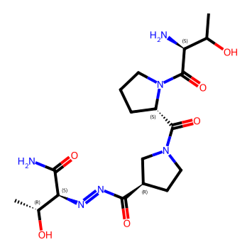 CC(O)[C@H](N)C(=O)N1CCC[C@H]1C(=O)N1CC[C@@H](C(=O)N=N[C@H](C(N)=O)[C@@H](C)O)C1